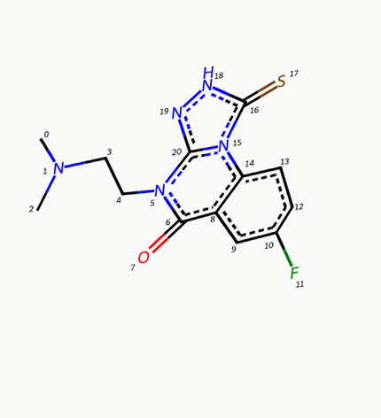 CN(C)CCn1c(=O)c2cc(F)ccc2n2c(=S)[nH]nc12